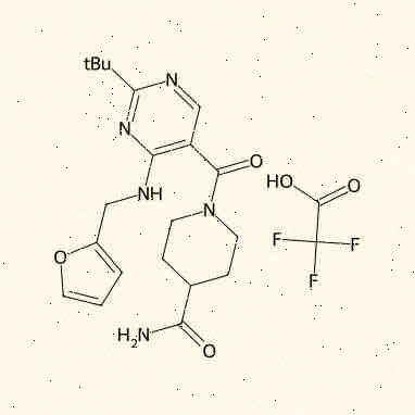 CC(C)(C)c1ncc(C(=O)N2CCC(C(N)=O)CC2)c(NCc2ccco2)n1.O=C(O)C(F)(F)F